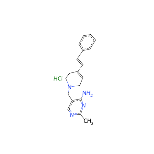 Cc1ncc(CN2CC=C(/C=C/c3ccccc3)CC2)c(N)n1.Cl